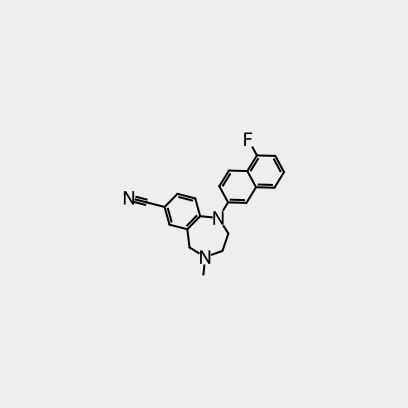 CN1CCN(c2ccc3c(F)cccc3c2)c2ccc(C#N)cc2C1